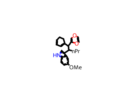 [CH2]CCC(c1c[nH]c2ccc(OC)cc12)C(C1=CC=CCC1)C1=COC=CO1